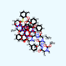 CCSSc1cccc(C)c1OC(=O)C[C@H](NC(=O)[C@H](Cc1ccccc1)NC(=O)[C@H](C(C)C)N(C)C(=O)[C@H](CC(C)C)N(C)C(=O)CNC(=O)[C@H](Cc1ccccc1)N(C)C(=O)[C@@H](NC(=O)[C@H](CC(C)C)N(C)C(=O)[C@@H](NC(=O)[C@H](C)N(C)C(=O)OC(C)(C)C)C(C)C)[C@@H](C)OC(c1ccccc1)(c1ccccc1)c1ccccc1)C(=O)N(C)C(Cc1ccccc1)C(=O)N[C@@H](C)C(=O)N1CCCCC1